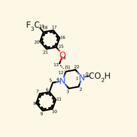 O=C(O)N1CCN(Cc2ccccc2)[C@H](COc2ccc(C(F)(F)F)cc2)C1